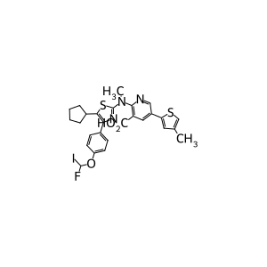 Cc1csc(-c2cnc(N(C)c3nc(-c4ccc(OC(F)I)cc4)c(C4CCCC4)s3)c(C(=O)O)c2)c1